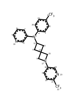 FC(F)(F)c1ccc(N(c2cccnc2)C2CC3(C2)CN(c2ccc(C(F)(F)F)nc2)C3)cc1